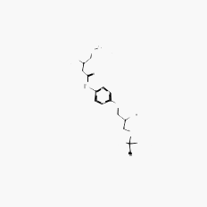 C#CC(C)(C)NCC(O)COc1ccc(NC(=O)CC(CO[N+](=O)[O-])C(=O)OCC)cc1